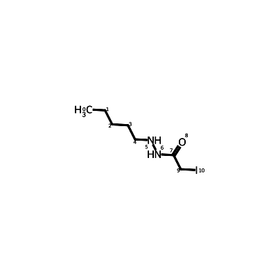 CCCCCNNC(=O)CI